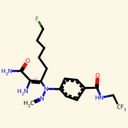 C=NN(/C(CCCCCF)=C(\N)C(N)=O)c1ccc(C(=O)NCC(F)(F)F)cc1